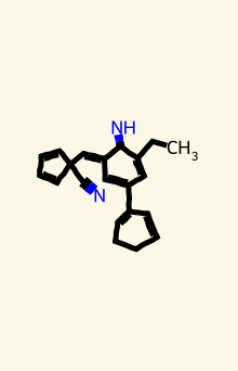 CCC1=CC(C2=CCCC=C2)=C/C(=C\C2(C#N)C=CC=C2)C1=N